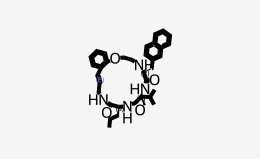 CCC[C@@H]1NC(=O)[C@@](C)(C(C)C)NC(=O)[C@@H](Cc2ccc3ccccc3c2)NCCOc2ccccc2/C=C/CNC1=O